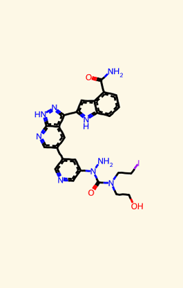 NC(=O)c1cccc2[nH]c(-c3n[nH]c4ncc(-c5cncc(N(N)C(=O)N(CCO)CCI)c5)cc34)cc12